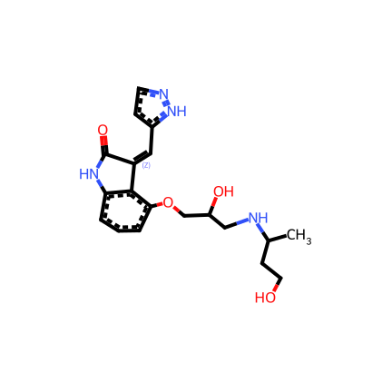 CC(CCO)NCC(O)COc1cccc2c1/C(=C/c1ccn[nH]1)C(=O)N2